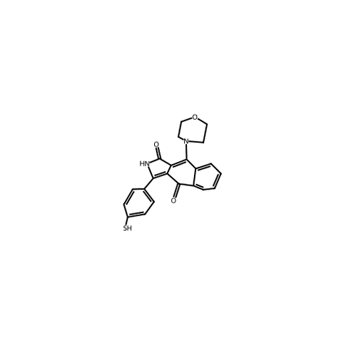 O=C1NC(c2ccc(S)cc2)=C2C(=O)c3ccccc3C(N3CCOCC3)=C12